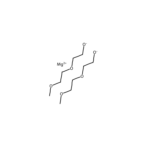 COCCOCC[O-].COCCOCC[O-].[Mg+2]